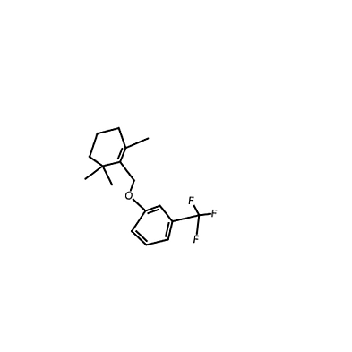 CC1=C(COc2cccc(C(F)(F)F)c2)C(C)(C)CCC1